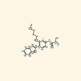 COCCCOc1cc(CC(=O)C(C)C)ccc1-c1cc2ccccc2o1